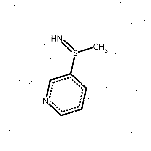 CS(=N)c1cccnc1